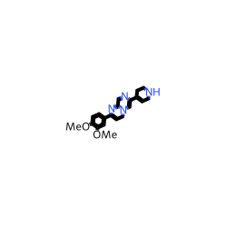 COc1ccc(C2=CCN3C=C(C4=CCNCC4)N=CC3=N2)cc1OC